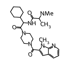 CNC(C)C(=O)NC(C(=O)N1CCN(C(=O)c2cc3cccnc3n2C)CC1)C1CCCCC1